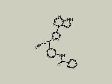 N#CCC(c1cccc(NC(=O)c2ccccc2)c1)n1cc(-c2ncnc3[nH]ccc23)cn1